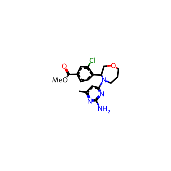 COC(=O)c1ccc(C2COCCCN2c2cc(C)nc(N)n2)c(Cl)c1